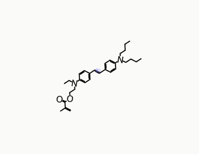 C=C(C)C(=O)OCCN(CC)c1ccc(/C=C/c2ccc(N(CCCC)CCCC)cc2)cc1